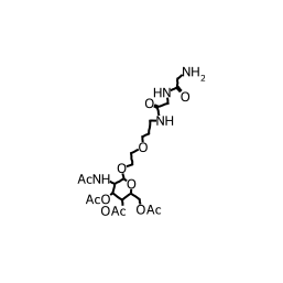 CC(=O)NC1C(OCCOCCCNC(=O)CNC(=O)CN)OC(COC(C)=O)C(OC(C)=O)C1OC(C)=O